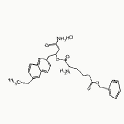 CCc1ccc2cc(CC(CC(N)=O)OC(=O)[C@@H](N)CCCC(=O)OCc3ccccc3)ccc2c1.Cl